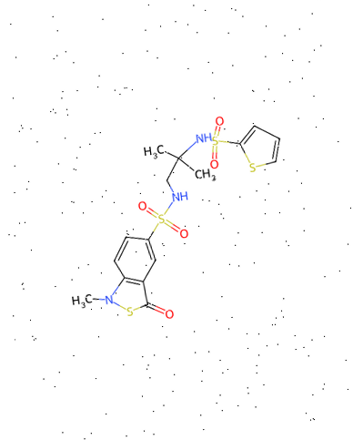 Cn1sc(=O)c2cc(S(=O)(=O)NCC(C)(C)NS(=O)(=O)c3cccs3)ccc21